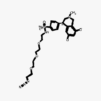 CN1Cc2c(Cl)cc(Cl)cc2[C@@H](c2ccc([SH](C)(=O)NCCOCCOCCOCCN=[N+]=[N-])cc2)C1